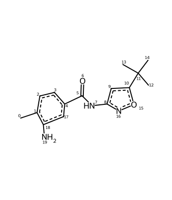 Cc1ccc(C(=O)Nc2cc(C(C)(C)C)on2)cc1N